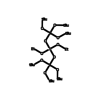 CC[O][Ti]([O]CC)([O][Si](OC(C)(C)C)(OC(C)(C)C)OC(C)(C)C)[O][Si](OC(C)(C)C)(OC(C)(C)C)OC(C)(C)C